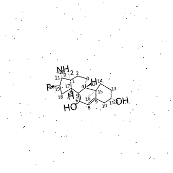 C[C@]12CC[C@H]3C(=C(O)C=C4C[C@@H](O)CC[C@@]43C)[C@@H]1C[C@@H](F)[C@@H]2N